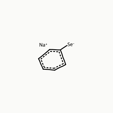 [Na+].[Se-]c1ccccc1